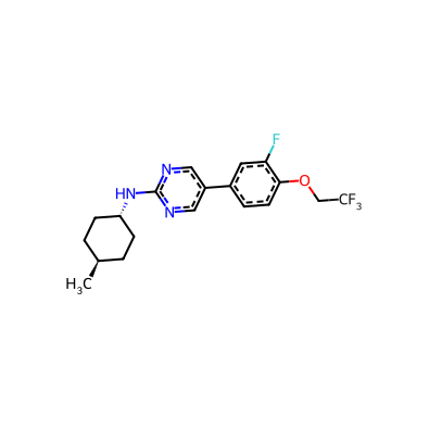 C[C@H]1CC[C@H](Nc2ncc(-c3ccc(OCC(F)(F)F)c(F)c3)cn2)CC1